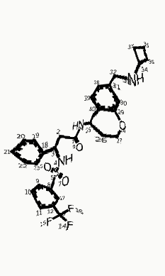 O=C(CC(NS(=O)(=O)c1cccc(C(F)(F)F)c1)c1ccccc1)NC1CCOc2cc(CNC3CCC3)ccc21